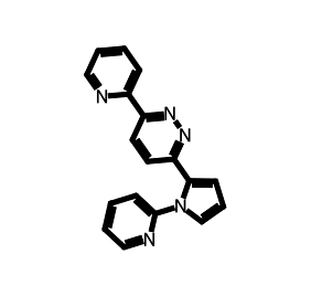 c1ccc(-c2ccc(-c3cccn3-c3ccccn3)nn2)nc1